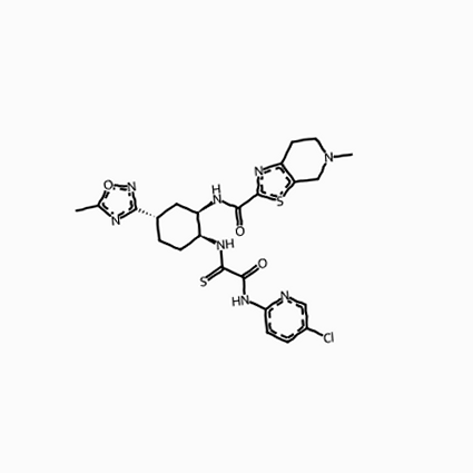 Cc1nc([C@H]2CC[C@H](NC(=S)C(=O)Nc3ccc(Cl)cn3)[C@H](NC(=O)c3nc4c(s3)CN(C)CC4)C2)no1